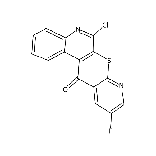 O=c1c2cc(F)cnc2sc2c(Cl)nc3ccccc3c12